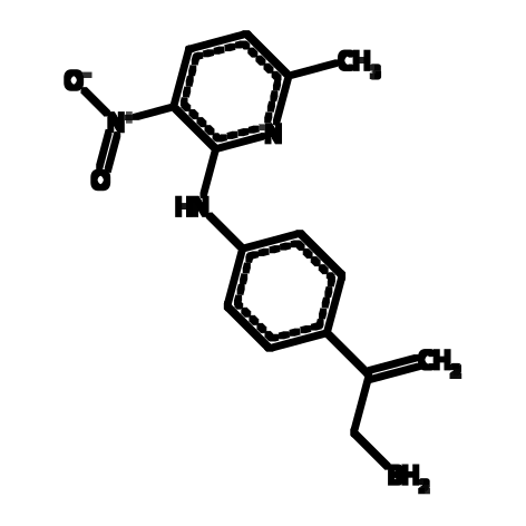 BCC(=C)c1ccc(Nc2nc(C)ccc2[N+](=O)[O-])cc1